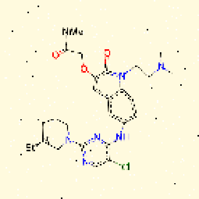 CC[C@H]1CCCN(c2ncc(Cl)c(Nc3ccc4c(c3)cc(OCC(=O)NC)c(=O)n4CCN(C)C)n2)C1